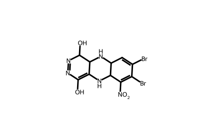 O=[N+]([O-])C1=C(Br)C(Br)=CC2NC3C(=C(O)N=NC3O)NC12